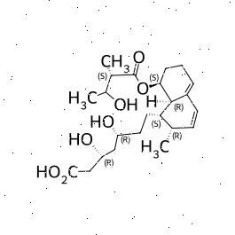 CC(O)[C@H](C)C(=O)O[C@H]1CCC=C2C=C[C@H](C)[C@H](CC[C@@H](O)C[C@@H](O)CC(=O)O)[C@H]21